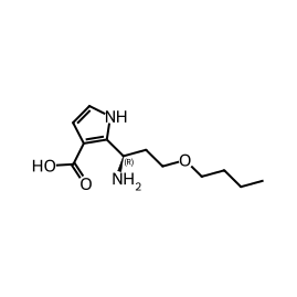 CCCCOCC[C@@H](N)c1[nH]ccc1C(=O)O